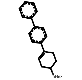 CCCCCCC1CC=C(c2ccc(-c3ccccc3)cc2)CC1